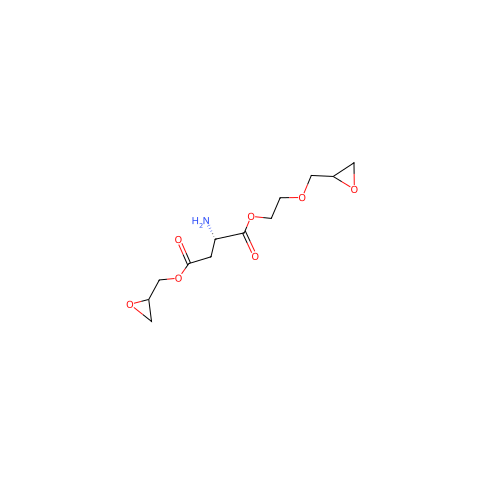 N[C@@H](CC(=O)OCC1CO1)C(=O)OCCOCC1CO1